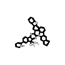 CC1(C)c2cc(C3=CC=CCN3)ccc2-c2nc(-c3ccc4oc5ccccc5c4c3)c(-n3c4ccccc4c4cc5ccccc5cc43)nc21